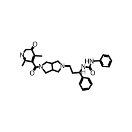 CC1=NCC(=O)C(C)=C1C(=O)N1CC2CN(CCC(NC(=O)Nc3ccccc3)c3ccccc3)CC2C1